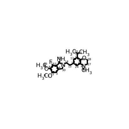 COc1cc2c(c(F)c1OC)C(=N)N(C[CH]c1cc(C(C)C)c3c(c1)N(C)CCO3)C2